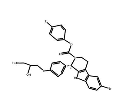 O=C(Oc1ccc(F)cc1)N1CCc2c([nH]c3ccc(Br)cc23)[C@@H]1c1ccc(OCC(O)CO)cc1